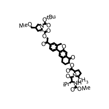 COCC1C[C@@H](C(=O)OCC(=O)c2ccc3c(c2)COc2cc4c(cc2-3)CCC(OC(=O)C2CCC(C)N2C(=O)C(NC(=O)OC)C(C)C)C4=O)N(C(=O)OC(C)(C)C)C1